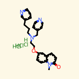 Cl.Cl.Cl.Cn1c(=O)ccc2cc(OCCN(CCCc3cccnc3)Cc3ccncc3)ccc21